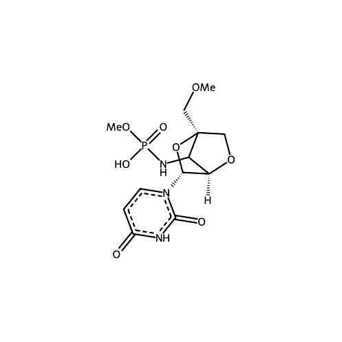 COC[C@]12CO[C@H](C1NP(=O)(O)OC)[C@H](n1ccc(=O)[nH]c1=O)O2